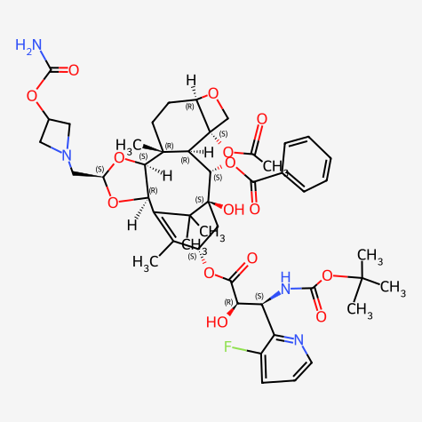 CC(=O)O[C@@]12CO[C@@H]1CC[C@@]1(C)[C@@H]3O[C@H](CN4CC(OC(N)=O)C4)O[C@@H]3C3=C(C)[C@@H](OC(=O)[C@H](O)[C@@H](NC(=O)OC(C)(C)C)c4ncccc4F)C[C@@](O)([C@@H](OC(=O)c4ccccc4)[C@@H]12)C3(C)C